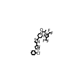 CC(C(=O)N1CCC(c2nc(C3=NO[C@H](c4[c]cccc4Cl)C3)cs2)CC1)n1nc(C(F)F)cc1C(F)F